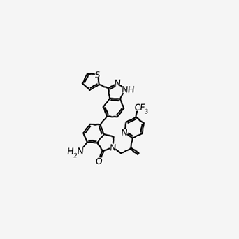 C=C(CN1Cc2c(-c3ccc4[nH]nc(-c5cccs5)c4c3)ccc(N)c2C1=O)c1ccc(C(F)(F)F)cn1